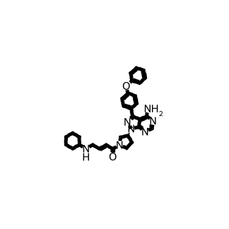 Nc1ncnc2c1c(-c1ccc(Oc3ccccc3)cc1)nn2[C@@H]1CCN(C(=O)C=CCNC2CCCCC2)C1